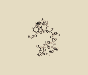 COc1ccc2c3c1O[C@@H]1C(OC(=O)[C@H](C)OC(=O)[C@H](CCC(=O)O)NC(=O)C[C@@H]4OC(C)(C)OC4=O)=CC[C@]4(O)[C@H](C2)NCC[C@@]314